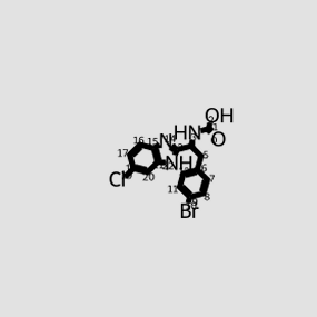 O=C(O)NC(Cc1ccc(Br)cc1)c1nc2ccc(Cl)cc2[nH]1